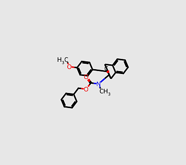 COc1ccc(C2CC3c4ccccc4C2CC3N(C)C(=O)OCc2ccccc2)cc1